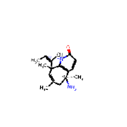 C/C=C(/C)C1(C)C=C(C)C[C@](C)(N)c2ccc(=O)[nH]c21